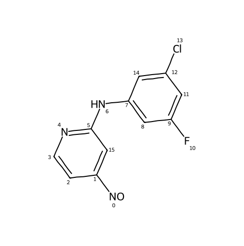 O=Nc1ccnc(Nc2cc(F)cc(Cl)c2)c1